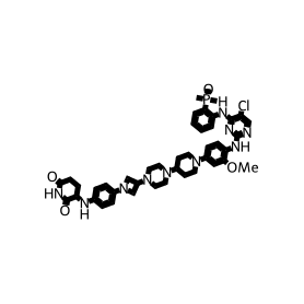 COc1cc(N2CCC(N3CCN(C4CN(c5ccc(NC6CCC(=O)NC6=O)cc5)C4)CC3)CC2)ccc1Nc1ncc(Cl)c(Nc2ccccc2P(C)(C)=O)n1